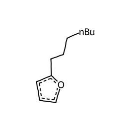 CCCCCCCc1ccco1